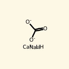 O=C([O-])[O-].[Ca+2].[LiH].[NaH]